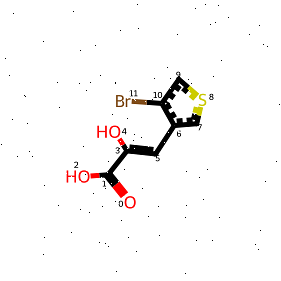 O=C(O)C(O)=Cc1cscc1Br